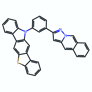 c1cc(-c2cc3cc4ccccc4cn3n2)cc(-n2c3ccccc3c3cc4sc5ccccc5c4cc32)c1